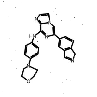 C1=NCc2ccc(-c3cn4ccnc4c(Nc4ccc(N5CCOCC5)cc4)n3)cc21